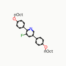 CCCCCCCCOc1ccc(-c2cnc(-c3ccc(OCCCCCCCC)cc3)c(F)c2)cc1